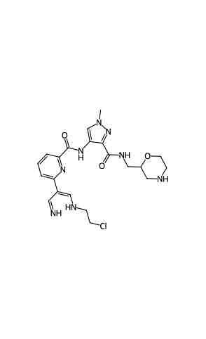 Cn1cc(NC(=O)c2cccc(/C(C=N)=C/NCCCl)n2)c(C(=O)NCC2CNCCO2)n1